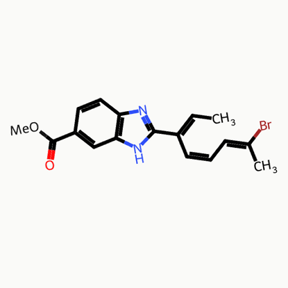 C\C=C(/C=C\C=C(/C)Br)c1nc2ccc(C(=O)OC)cc2[nH]1